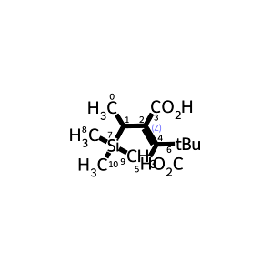 CC(/C(C(=O)O)=C(\C(=O)O)C(C)(C)C)[Si](C)(C)C